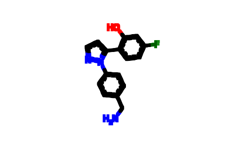 NCc1ccc(-n2nccc2-c2ccc(F)cc2O)cc1